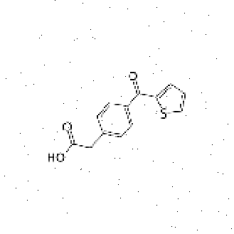 O=C(O)Cc1ccc(C(=O)c2cccs2)cc1